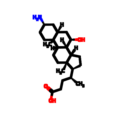 C[C@H](CCC(=O)O)[C@H]1CC[C@H]2[C@@H]3[C@H](O)C[C@@H]4C[C@@H](N)CC[C@]4(C)[C@H]3CC[C@]12C